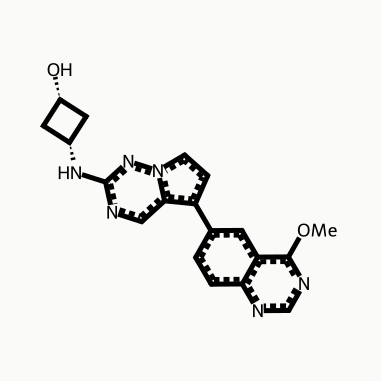 COc1ncnc2ccc(-c3ccn4nc(N[C@H]5C[C@@H](O)C5)ncc34)cc12